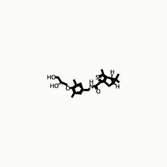 Cc1cc(CNC(=O)c2sc(C)c3c2C[C@@H]2[C@H]3C2(C)C)cc(C)c1OC[C@H](O)CO